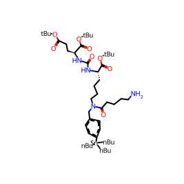 CCC[CH2][Sn]([CH2]CCC)([CH2]CCC)[c]1ccc(CN(CCCC[C@H](NC(=O)N[C@@H](CCC(=O)OC(C)(C)C)C(=O)OC(C)(C)C)C(=O)OC(C)(C)C)C(=O)CCCCN)cc1